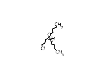 CCCCO[SiH](CCCCl)OCCCC